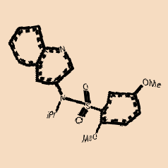 COc1ccc(OC)c(S(=O)(=O)N(c2cnc3ccccc3c2)C(C)C)c1